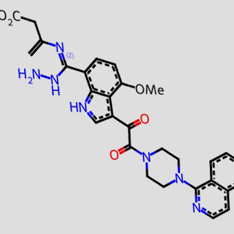 C=C(CC(=O)O)/N=C(\NN)c1ccc(OC)c2c(C(=O)C(=O)N3CCN(c4nccc5ccccc45)CC3)c[nH]c12